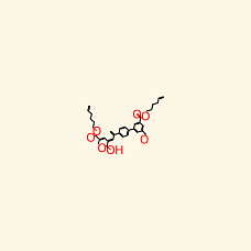 C=CCCCCOC(=O)/C(C)=C/C(=C\C(=C)c1ccc(-c2cc(C=O)cc(C(=O)OCCCCC=C)c2)cc1)C(=O)O